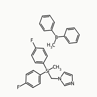 CB(c1ccccc1)c1ccccc1.C[Si](Cn1ccnc1)(c1ccc(F)cc1)c1ccc(F)cc1